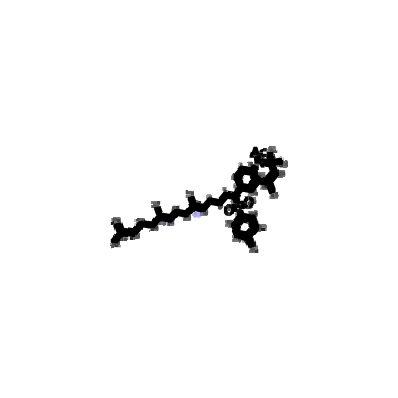 CC(=O)N1c2ccc(C(CCC/C=C(\C)CC/C=C(\C)CCC=C(C)C)S(=O)(=O)c3ccc(C)cc3)cc2C(C)=CC1(C)C